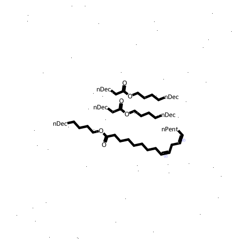 CCCCC/C=C\C/C=C\CCCCCCCC(=O)OCCCCCCCCCCCCCC.CCCCCCCCCCCCCCOC(=O)CCCCCCCCCCC.CCCCCCCCCCCCCCOC(=O)CCCCCCCCCCC